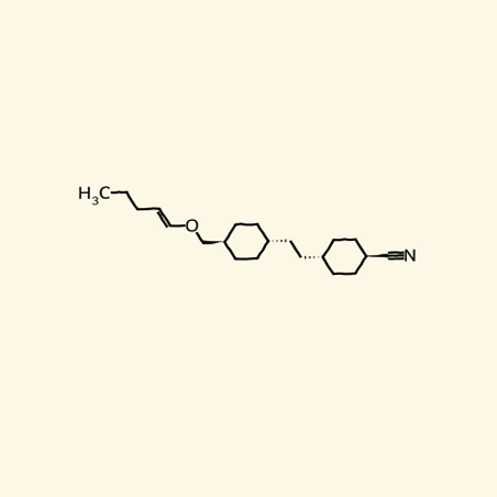 CCCC=COC[C@H]1CC[C@H](CC[C@H]2CC[C@H](C#N)CC2)CC1